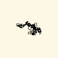 C=C1CC1(CCCN1CCC(CO)CC1)c1ccc(-c2cc(Cl)c3cn(C(/C(=C/C)Nc4ncc[nH]4)c4ncn5c4C[C@@H](F)C5)nc3c2Cl)cc1